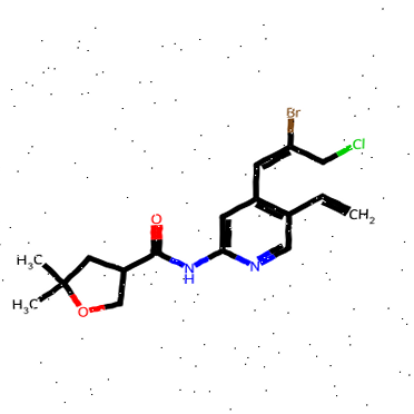 C=Cc1cnc(NC(=O)C2COC(C)(C)C2)cc1/C=C(/Br)CCl